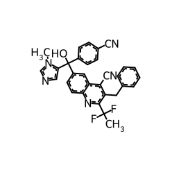 Cn1cncc1C(O)(c1ccc(C#N)cc1)c1ccc2nc(C(C)(F)F)c(Cc3ccccc3)c(C#N)c2c1